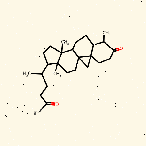 CC(C)C(=O)CCC(C)C1CCC2(C)C3CCC4C(C)C(=O)CCC45CC35CCC12C